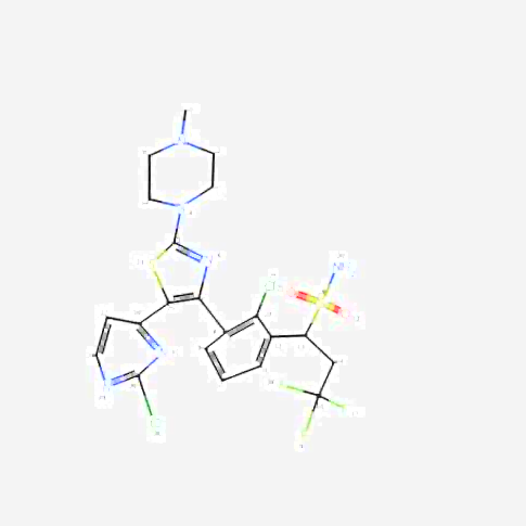 CN1CCN(c2nc(-c3cccc(C(CC(F)(F)F)S(N)(=O)=O)c3Cl)c(-c3ccnc(Cl)n3)s2)CC1